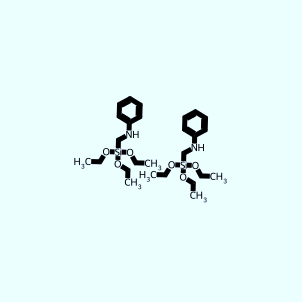 CCO[Si](CNc1ccccc1)(OCC)OCC.CCO[Si](CNc1ccccc1)(OCC)OCC